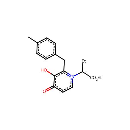 CCOC(=O)C(CC)n1ccc(=O)c(O)c1Cc1ccc(C)cc1